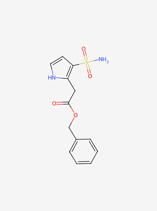 NS(=O)(=O)c1cc[nH]c1CC(=O)OCc1ccccc1